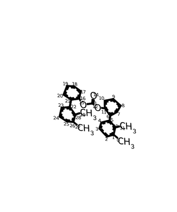 Cc1cccc(-c2ccccc2OC(=O)Oc2ccccc2-c2cccc(C)c2C)c1C